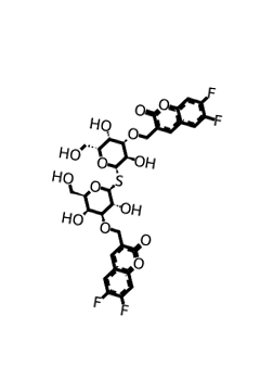 O=c1oc2cc(F)c(F)cc2cc1CO[C@H]1[C@@H](O)[C@@H](CO)O[C@@H](S[C@@H]2O[C@H](CO)[C@H](O)[C@H](OCc3cc4cc(F)c(F)cc4oc3=O)[C@H]2O)[C@@H]1O